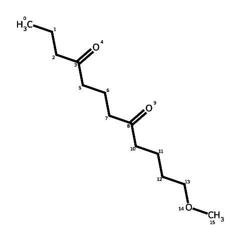 CCCC(=O)CCCC(=O)CCCCOC